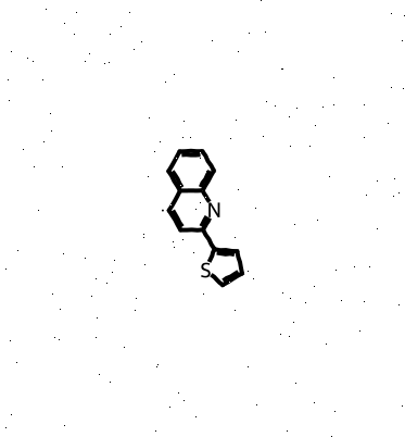 [c]1cc(-c2cccs2)nc2ccccc12